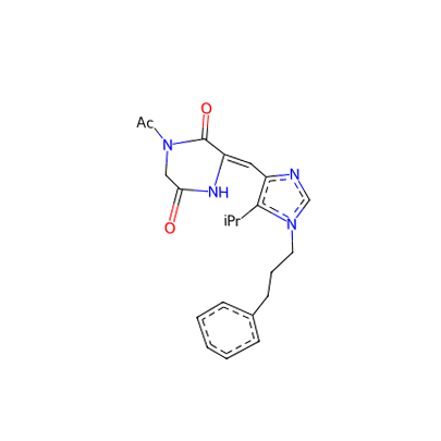 CC(=O)N1CC(=O)NC(=Cc2ncn(CCCc3ccccc3)c2C(C)C)C1=O